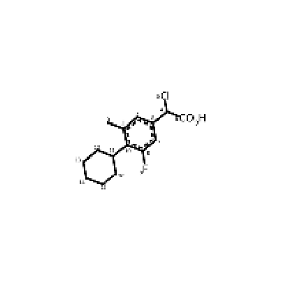 Cc1cc(C(Cl)C(=O)O)cc(F)c1C1CCCCC1